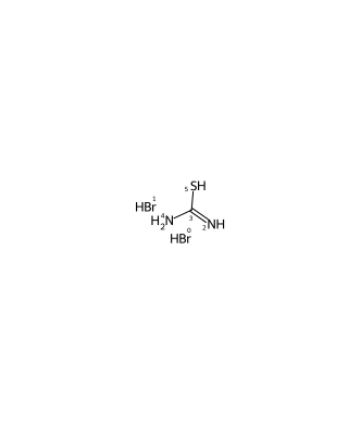 Br.Br.N=C(N)S